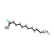 CCCCCCCCCCC[CH](F)[Sb]